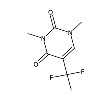 Cn1cc(C(C)(F)F)c(=O)n(C)c1=O